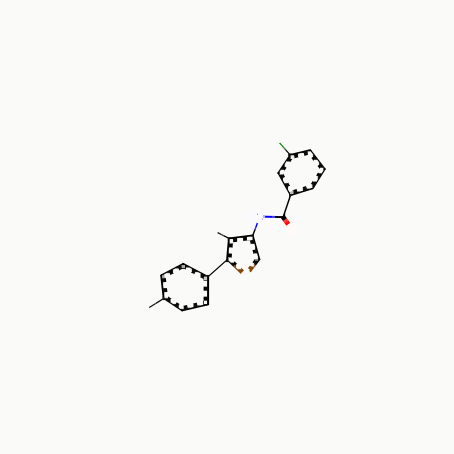 O=C(Nc1csc(-c2ccc(C(F)(F)F)cc2)c1C(=O)O)c1cccc(F)c1